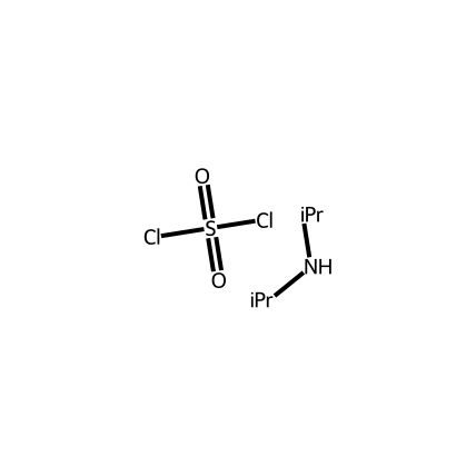 CC(C)NC(C)C.O=S(=O)(Cl)Cl